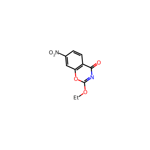 CCOc1nc(=O)c2ccc([N+](=O)[O-])cc2o1